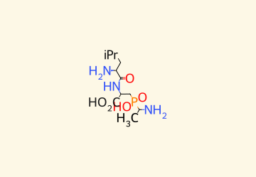 CC(C)C[C@H](N)C(=O)NC(CP(=O)(O)C(C)N)C(=O)O